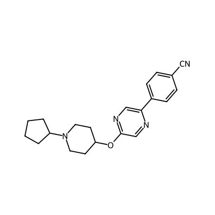 N#Cc1ccc(-c2cnc(OC3CCN(C4CCCC4)CC3)cn2)cc1